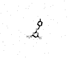 Cc1ccc(CSc2nc(N)cc(Cl)n2)cc1